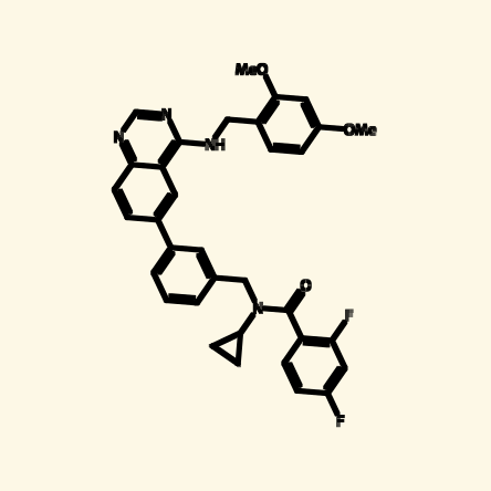 COc1ccc(CNc2ncnc3ccc(-c4cccc(CN(C(=O)c5ccc(F)cc5F)C5CC5)c4)cc23)c(OC)c1